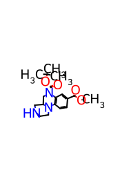 COC(=O)c1ccc2c(c1)N(C(=O)OC(C)(C)C)CC1CNCCN21